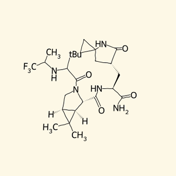 CC(NC(C(=O)N1C[C@H]2[C@@H]([C@H]1C(=O)N[C@@H](C[C@@H]1CC3(CC3)NC1=O)C(N)=O)C2(C)C)C(C)(C)C)C(F)(F)F